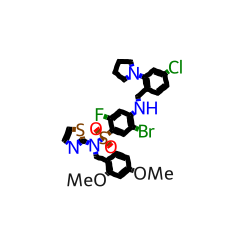 COc1ccc(CN(c2nccs2)S(=O)(=O)c2cc(Br)c(NCc3ccc(Cl)cc3N3CCCC3)cc2F)c(OC)c1